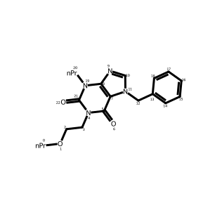 CCCOCCn1c(=O)c2c(ncn2Cc2ccccc2)n(CCC)c1=O